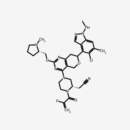 C=C(F)C(=O)N1CCN(c2nc(OC[C@@H]3CCCN3C)nc3c2COC(c2c(Cl)c(C)cc4c2cnn4PI)C3)C[C@@H]1CC#N